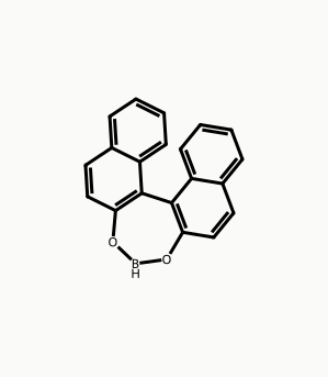 B1Oc2ccc3ccccc3c2-c2c(ccc3ccccc23)O1